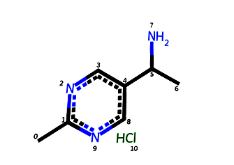 Cc1ncc(C(C)N)cn1.Cl